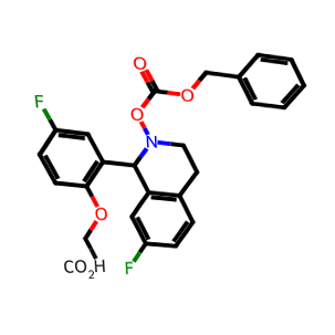 O=C(O)COc1ccc(F)cc1C1c2cc(F)ccc2CCN1OC(=O)OCc1ccccc1